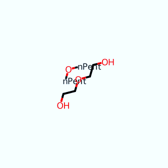 CCCCCOCCCCC.OCCOCCO